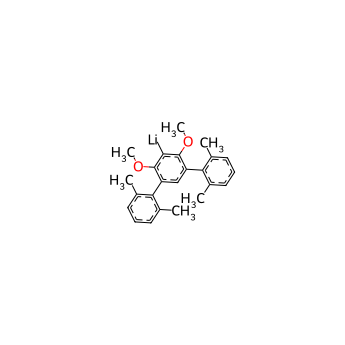 [Li][c]1c(OC)c(-c2c(C)cccc2C)cc(-c2c(C)cccc2C)c1OC